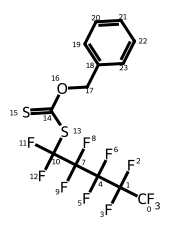 FC(F)(F)C(F)(F)C(F)(F)C(F)(F)C(F)(F)SC(=S)OCc1ccccc1